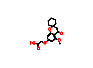 COc1cc(OCC(=O)O)cc2c1C(=O)CC1(CCCCC1)O2